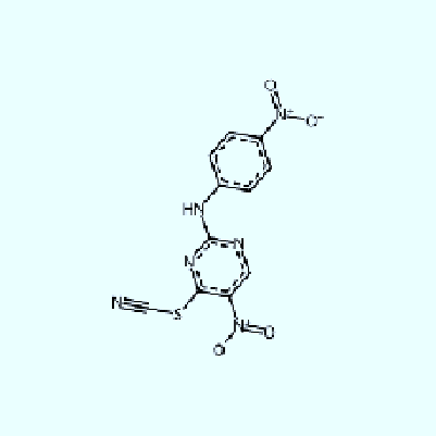 N#CSc1nc(Nc2ccc([N+](=O)[O-])cc2)ncc1[N+](=O)[O-]